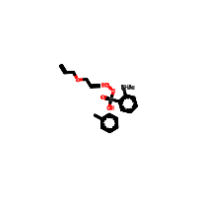 C=CCOCC=C.CC(=O)Nc1ccccc1[As](=O)(O)OO.Cc1ccccc1